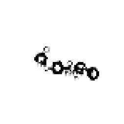 C1CC2CCC1CC2.O=C(N[C@H]1CN2CCC1CC2)c1ccc(Oc2cc(Cl)ccn2)cc1